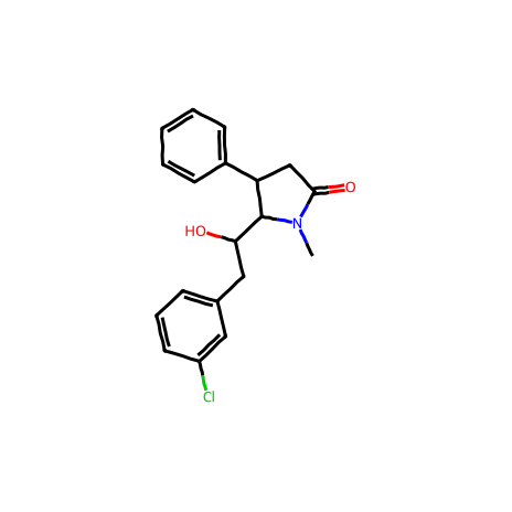 CN1C(=O)CC(c2ccccc2)C1C(O)Cc1cccc(Cl)c1